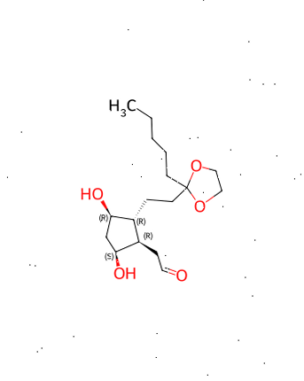 CCCCCC1(CC[C@@H]2[C@@H](CC=O)[C@@H](O)C[C@H]2O)OCCO1